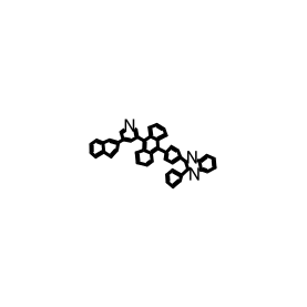 c1ccc(-c2nc3ccccc3nc2-c2ccc(-c3c4ccccc4c(-c4cncc(-c5ccc6ccccc6c5)c4)c4ccccc34)cc2)cc1